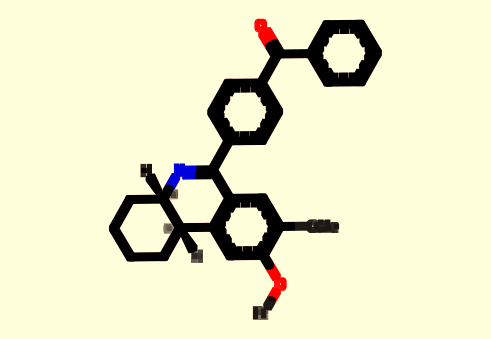 CCOc1cc2c(cc1OC)C(c1ccc(C(=O)c3ccccc3)cc1)=N[C@H]1CCCC[C@@H]21